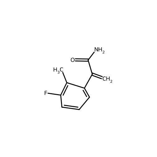 C=C(C(N)=O)c1cccc(F)c1C